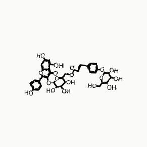 O=C(/C=C/c1ccc(O[C@@H]2OC(CO)[C@@H](O)C(O)C2O)cc1)OCC1O[C@@H](Oc2c(-c3ccc(O)cc3)oc3cc(O)cc(O)c3c2=O)C(O)C(O)[C@@H]1O